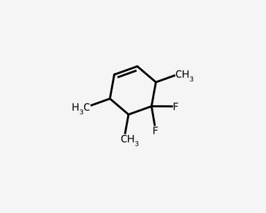 CC1C=CC(C)C(F)(F)C1C